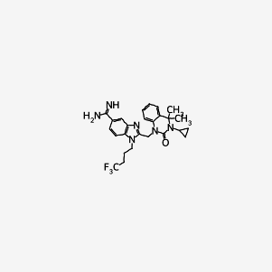 CC1(C)c2ccccc2N(Cc2nc3cc(C(=N)N)ccc3n2CCCC(F)(F)F)C(=O)N1C1CC1